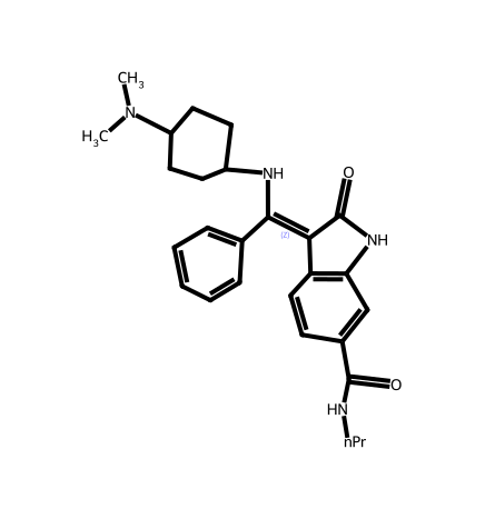 CCCNC(=O)c1ccc2c(c1)NC(=O)/C2=C(\NC1CCC(N(C)C)CC1)c1ccccc1